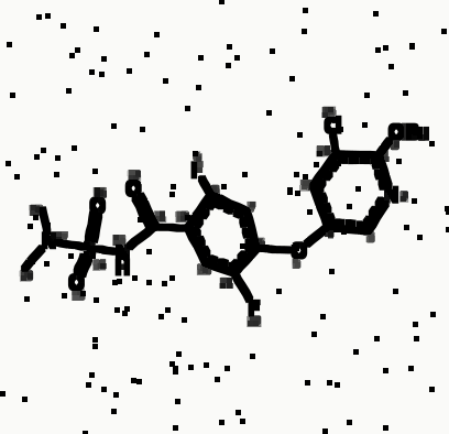 CC(C)COc1ncc(Oc2cc(F)c(C(=O)NS(=O)(=O)N(C)C)cc2F)cc1Cl